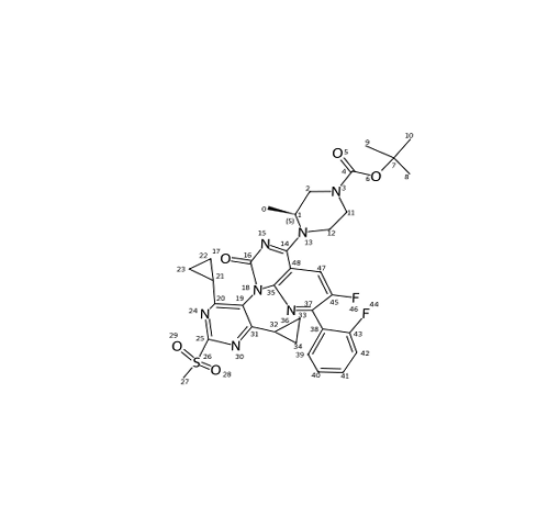 C[C@H]1CN(C(=O)OC(C)(C)C)CCN1c1nc(=O)n(-c2c(C3CC3)nc(S(C)(=O)=O)nc2C2CC2)c2nc(-c3ccccc3F)c(F)cc12